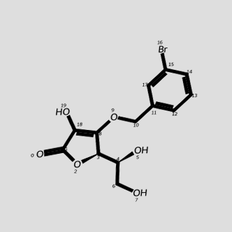 O=C1O[C@H]([C@@H](O)CO)C(OCc2cccc(Br)c2)=C1O